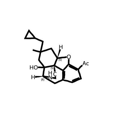 CC(=O)c1ccc2c3c1O[C@H]1CC(C)(CC4CC4)CC4(O)[C@@H](C2)NCC[C@]314